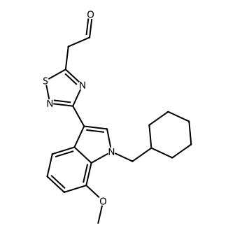 COc1cccc2c(-c3nsc(CC=O)n3)cn(CC3CCCCC3)c12